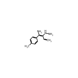 C=C/C(NN)=C(/N)c1ccc(C)cc1